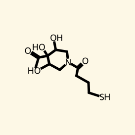 CC(=O)C1(O)C(O)CN(C(=O)CCCS)CC1O